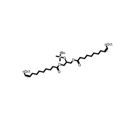 CCCCCCCC/C=C\CCCCCCCC(=O)OCC(COC(=O)CCCCCCC/C=C\CCCCCCCC)O[Si](C)(C)C(C)(C)C